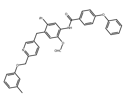 Cc1cccc(OCc2ccc(Cc3cc(OC=O)c(NC(=O)c4ccc(Oc5ccccc5)cc4)cc3C(C)C)cn2)c1